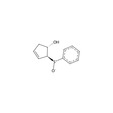 [O-][S+](c1ccccc1)[C@H]1C=CC[C@@H]1O